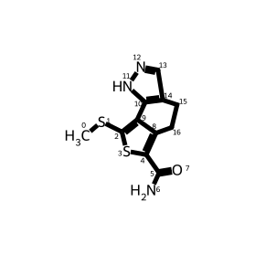 CSc1sc(C(N)=O)c2c1-c1[nH]ncc1CC2